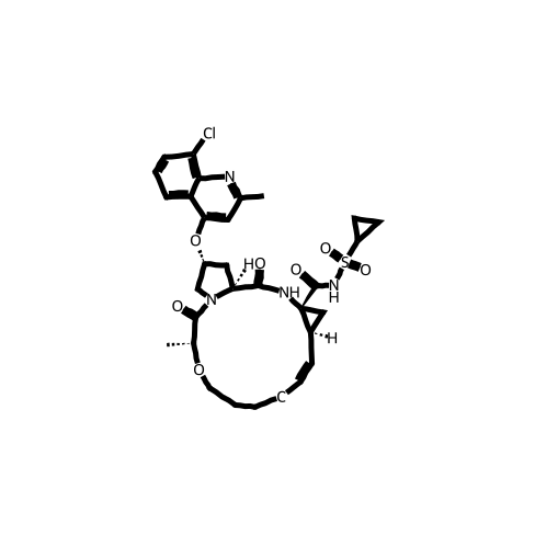 Cc1cc(O[C@@H]2C[C@H]3C(=O)N[C@]4(C(=O)NS(=O)(=O)C5CC5)C[C@H]4/C=C\CCCCO[C@H](C)C(=O)N3C2)c2cccc(Cl)c2n1